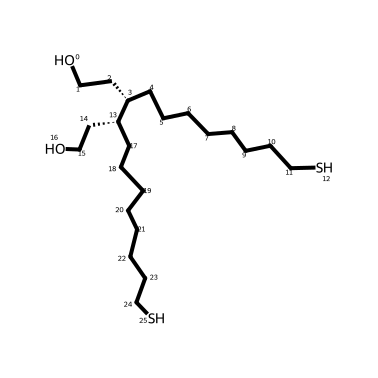 OCC[C@H](CCCCCCCCS)[C@@H](CCO)CCCCCCCCS